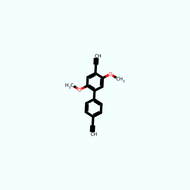 C#Cc1ccc(-c2cc(OC)c(C#C)cc2OC)cc1